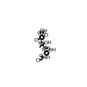 C=S(=O)(O)c1ccc(NC(=O)CCl)cc1/N=N/c1c(C)nn(-c2cc(Cl)c(S(=O)(=O)O)cc2Cl)c1O